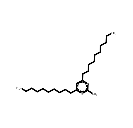 [CH2]c1nc(CCCCCCCCCC)cc(CCCCCCCCCC)n1